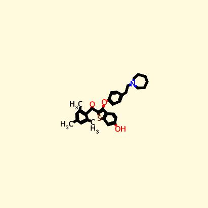 Cc1cc(C)c(C(=O)c2sc3cc(O)ccc3c2Oc2ccc(CCN3CCCCCC3)cc2)c(C)c1